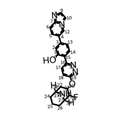 Oc1cc(-c2ccc3nccn3c2)ccc1-c1ccc(O[C@@H]2C[C@H]3CCC[C@H](N3)[C@@H]2F)nn1